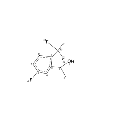 CC(O)c1cc(F)ccc1C(C)(F)F